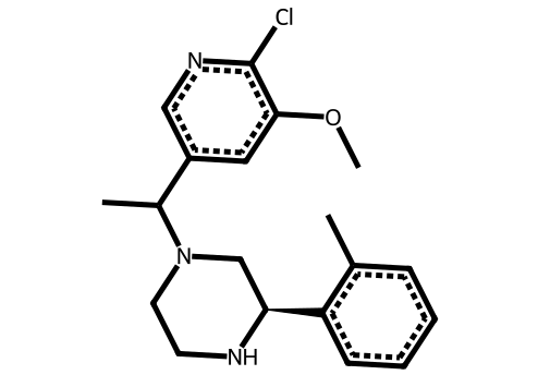 COc1cc(C(C)N2CCN[C@H](c3ccccc3C)C2)cnc1Cl